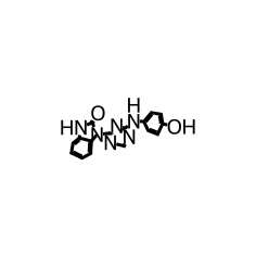 O=c1[nH]c2ccccc2n1-c1ncnc(Nc2ccc(O)cc2)n1